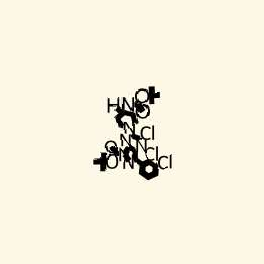 CC1(NC(=O)OC(C)(C)C)CCN(c2nc3c(nc2Cl)c(-c2cccc(Cl)c2Cl)nn3C(=O)OC(C)(C)C)CC1